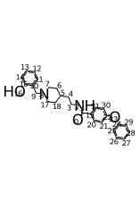 O=C(NCCC1CCN(Cc2ccccc2O)CC1)c1ccc(Oc2ccccc2)cc1